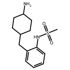 CS(=O)(=O)Nc1ccccc1CC1CCC(N)CC1